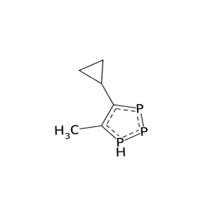 Cc1[pH]ppc1C1CC1